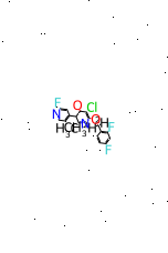 [2H]C([2H])(OC1=C(Cl)C(=O)C(c2cc(F)ncc2C)C(C)=N1)c1ccc(F)cc1F